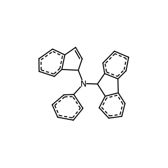 C1=CC(N(c2ccccc2)C2c3ccccc3-c3ccccc32)c2ccccc21